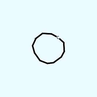 [C]1CCCCCCCCCCC1